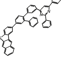 c1ccc(-c2cc(-c3cccc(-c4ccc(-c5ccc6sc7cc8ccccc8cc7c6c5)cc4-c4ccccc4)c3)nc(-c3ccccc3)n2)cc1